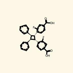 O=C(O)c1ccc([C@@H]2[C@@H](c3ccccc3)[C@@H](c3ccccc3)[C@@H]2c2ccc(C(=O)O)cc2F)c(F)c1